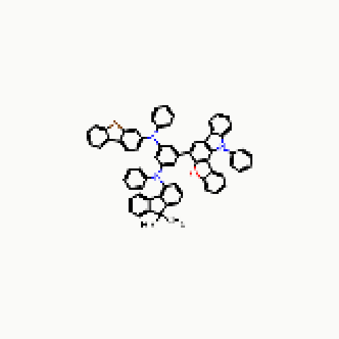 CC1(C)c2ccccc2-c2c(N(c3ccccc3)c3cc(-c4cc5c6ccccc6n(-c6ccccc6)c5c5c4oc4ccccc45)cc(N(c4ccccc4)c4ccc5c(c4)sc4ccccc45)c3)cccc21